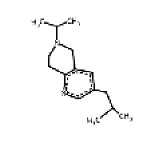 CC(C)Cc1cnc2c(c1)CN(C(C)C)CC2